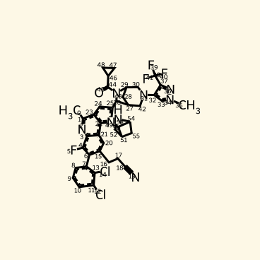 Cc1nc2c(F)c(-c3cccc(Cl)c3Cl)c(CCC#N)cc2c2c1cc(C1C3CC(CN(c4cn(C)nc4C(F)(F)F)C3)N1C(=O)C1CC1)n2C1C2CNC1C2